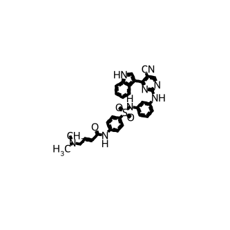 CN(C)CC=CC(=O)Nc1ccc(S(=O)(=O)Nc2cccc(Nc3ncc(C#N)c(-c4c[nH]c5ccccc45)n3)c2)cc1